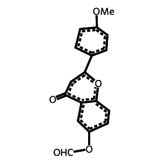 COc1ccc(-c2cc(=O)c3cc(OC=O)ccc3o2)cc1